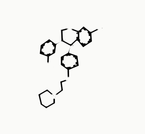 Oc1ccc2c(c1)OC[C@H](c1cccc(C(F)(F)F)c1)[C@@H]2c1ccc(OCCN2CCCCC2)cc1